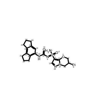 CCC1COc2c(S(N)(=O)=NC(=O)Nc3cc4c(c5c3CCC5)CCC4)cnn2C1